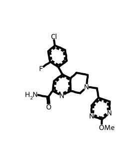 COc1ncc(CN2CCc3c(-c4ccc(Cl)cc4F)cc(C(N)=O)nc3C2)cn1